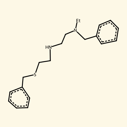 CCN(CCNCCSCc1ccccc1)Cc1ccccc1